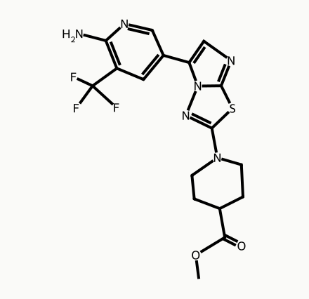 COC(=O)C1CCN(c2nn3c(-c4cnc(N)c(C(F)(F)F)c4)cnc3s2)CC1